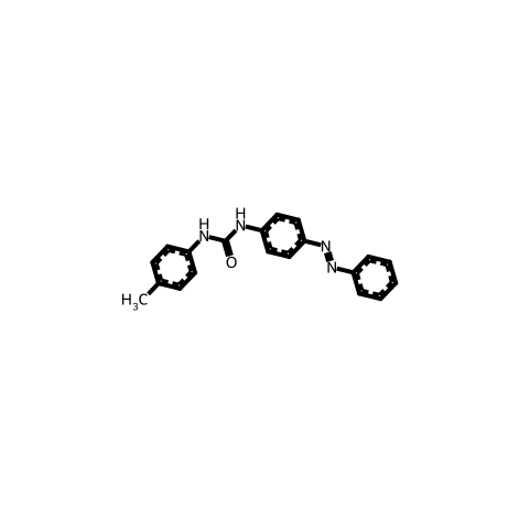 Cc1ccc(NC(=O)Nc2ccc(N=Nc3ccccc3)cc2)cc1